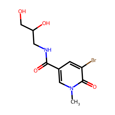 Cn1cc(C(=O)NCC(O)CO)cc(Br)c1=O